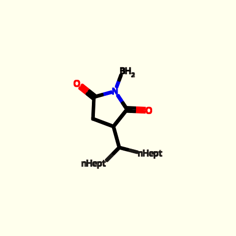 BN1C(=O)CC(C(CCCCCCC)CCCCCCC)C1=O